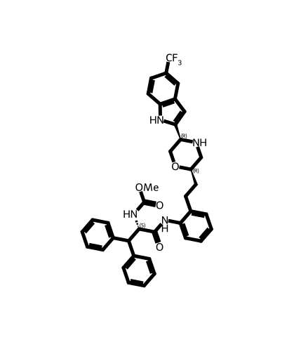 COC(=O)N[C@H](C(=O)Nc1ccccc1CC[C@@H]1CN[C@H](c2cc3cc(C(F)(F)F)ccc3[nH]2)CO1)C(c1ccccc1)c1ccccc1